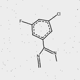 C=N/C(=N\C)c1cc(F)cc(Cl)c1